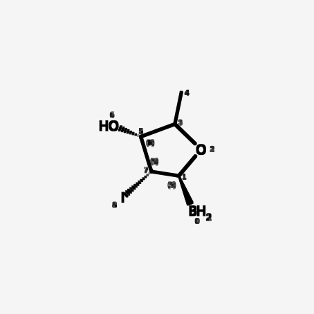 B[C@@H]1OC(C)[C@@H](O)[C@H]1I